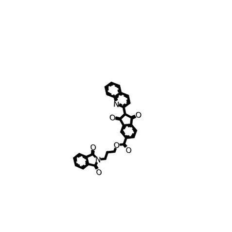 O=C(OCCCN1C(=O)c2ccccc2C1=O)c1ccc2c(c1)C(=O)C(c1ccc3ccccc3n1)C2=O